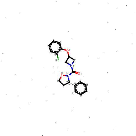 O=C(N1CC(Oc2ccccc2F)C1)N1OCC[C@H]1c1ccccc1